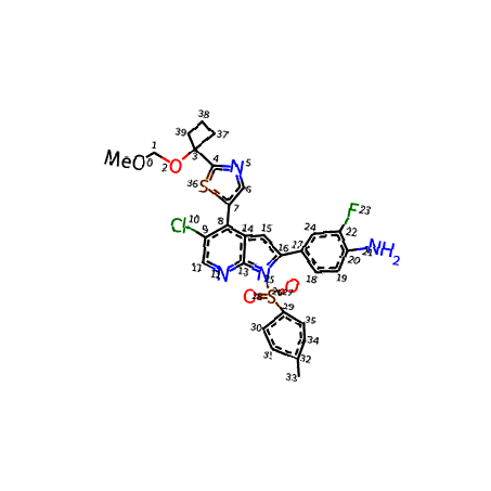 COCOC1(c2ncc(-c3c(Cl)cnc4c3cc(-c3ccc(N)c(F)c3)n4S(=O)(=O)c3ccc(C)cc3)s2)CCC1